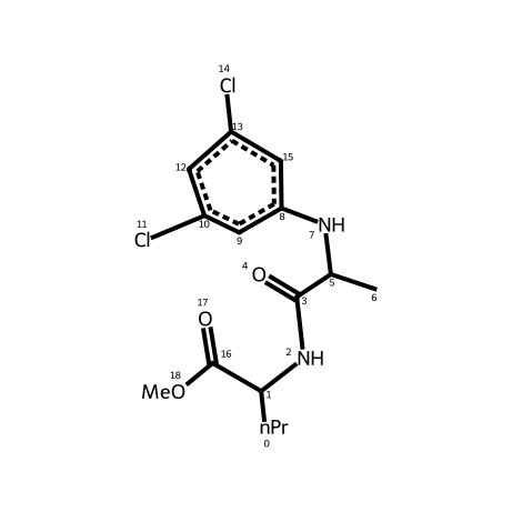 CCCC(NC(=O)C(C)Nc1cc(Cl)cc(Cl)c1)C(=O)OC